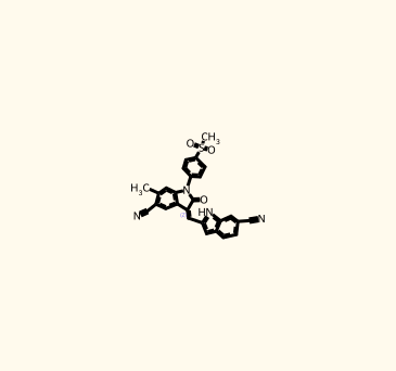 Cc1cc2c(cc1C#N)/C(=C/c1cc3ccc(C#N)cc3[nH]1)C(=O)N2c1ccc(S(C)(=O)=O)cc1